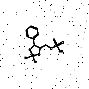 CCC1(CC)OC(COS(N)(=O)=O)C(c2ccccc2)O1